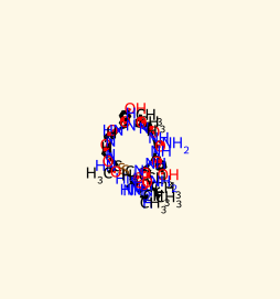 CC[C@H](C)[C@H](NC(=O)[C@H](CC(C)C)NC(=O)[C@@H](CN)NC(=O)[C@@H]1CSSC[C@H](NC(C)=O)C(=O)N2CCC[C@H]2C(=O)N2CCC[C@H]2C(=O)N[C@@H](Cc2ccc(O)cc2)C(=O)N[C@@H](CC(C)C)C(=O)N2CCC[C@H]2C(=O)N[C@H](CCN)C(=O)N[C@@H](Cc2ccc(O)cc2)C(=O)N[C@@H](CC(C)C)C(=O)N1)C(N)=O